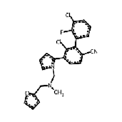 CN(Cc1ccco1)Cn1cccc1-c1ccc(C#N)c(-c2cccc(Cl)c2F)c1Cl